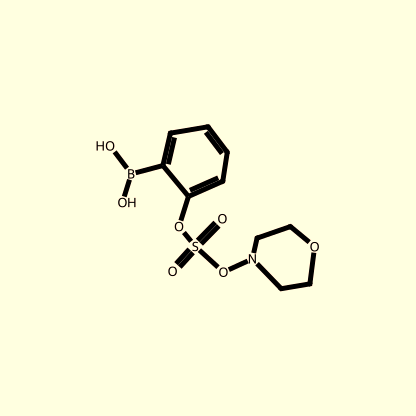 O=S(=O)(Oc1ccccc1B(O)O)ON1CCOCC1